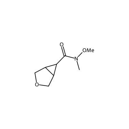 CON(C)C(=O)C1C2COCC21